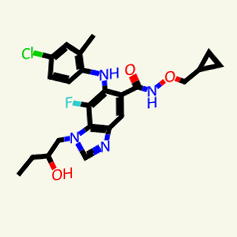 CCC(O)Cn1cnc2cc(C(=O)NOCC3CC3)c(Nc3ccc(Cl)cc3C)c(F)c21